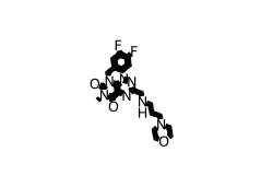 Cn1c(=O)c2nc(CNCCCN3CCOCC3)nnc2n(Cc2ccc(F)c(F)c2)c1=O